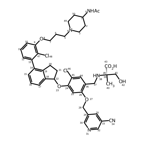 CC(=O)NC1CCN(CCCOc2cccc(-c3cccc4c3CCC4Oc3cc(OCc4cncc(C#N)c4)c(CN[C@](C)(CO)C(=O)O)cc3Cl)c2Cl)CC1